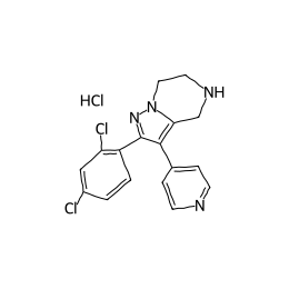 Cl.Clc1ccc(-c2nn3c(c2-c2ccncc2)CNCC3)c(Cl)c1